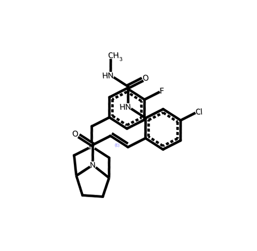 CNC(=O)Nc1cc(Cl)ccc1/C=C/C(=O)N1C2CCC1CN(Cc1ccc(F)cc1)C2